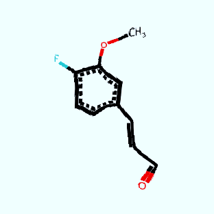 COc1cc(C=CC=O)ccc1F